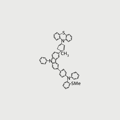 CSc1ccccc1N(c1ccccc1)c1ccc(-c2ccc3c(c2)c2cc(C4(C)C=CC(N5c6ccccc6Sc6ccccc65)=CC4)ccc2n3-c2ccccc2)cc1